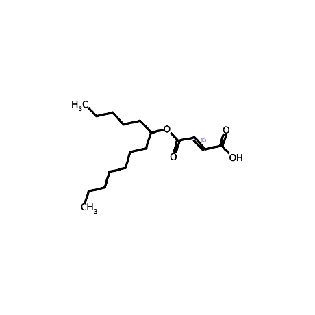 CCCCCCCC(CCCCC)OC(=O)/C=C/C(=O)O